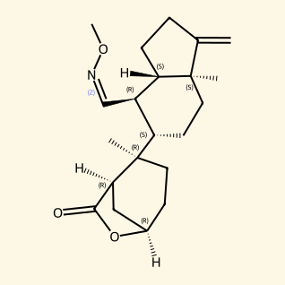 C=C1CC[C@H]2[C@H](/C=N\OC)[C@@H]([C@@]3(C)CC[C@@H]4C[C@H]3C(=O)O4)CC[C@]12C